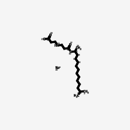 CC(C)CCCCCCCCCCC(C)OC(=O)CCNCCC(=O)[O-].[Na+]